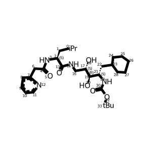 CC(C)C[C@H](NC(=O)Cc1ccccn1)C(=O)NC[C@H](O)[C@H](O)[C@H](CC1CCCCC1)NC(=O)OC(C)(C)C